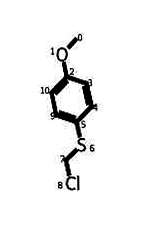 COc1ccc(SCCl)cc1